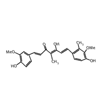 COc1cc(/C=C/C(=O)/C(C)=C(O)/C=C/c2ccc(O)c(OC)c2C)ccc1O